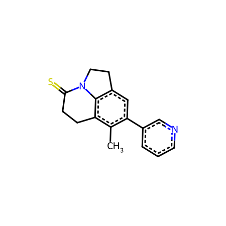 Cc1c(-c2cccnc2)cc2c3c1CCC(=S)N3CC2